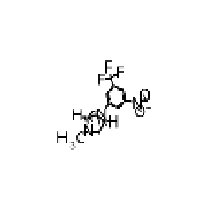 CN1C[C@@H]2C[C@H]1CN2c1cc([N+](=O)[O-])cc(C(F)(F)F)c1